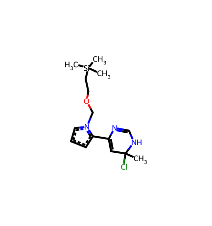 CC1(Cl)C=C(c2cccn2COCC[Si](C)(C)C)N=CN1